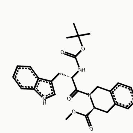 COC(=O)[C@@H]1Cc2ccccc2CN1C(=O)[C@H](Cc1c[nH]c2ccccc12)NC(=O)OC(C)(C)C